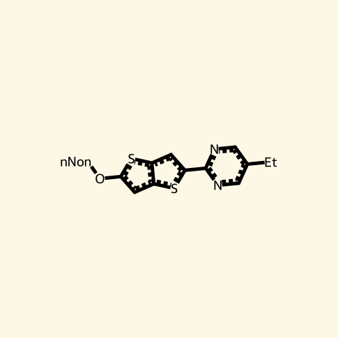 CCCCCCCCCOc1cc2sc(-c3ncc(CC)cn3)cc2s1